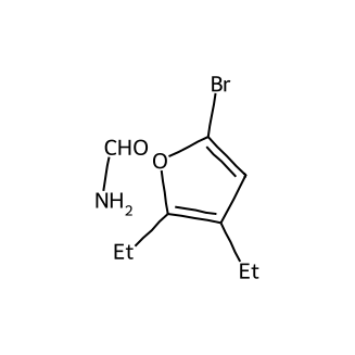 CCc1cc(Br)oc1CC.NC=O